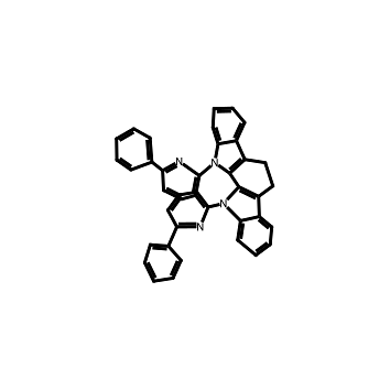 c1ccc(-c2cccc(-n3c4c(c5ccccc53)CCc3c-4n(-c4cccc(-c5ccccc5)n4)c4ccccc34)n2)cc1